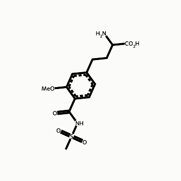 COc1cc(CCC(N)C(=O)O)ccc1C(=O)NS(C)(=O)=O